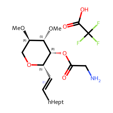 CCCCCCC/C=C/[C@@H]1OC[C@@H](OC)[C@H](OC)[C@@H]1OC(=O)CN.O=C(O)C(F)(F)F